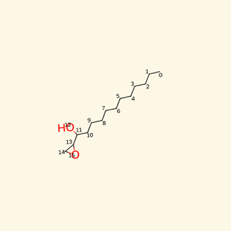 CCCCCCCCCCCC(O)C1CO1